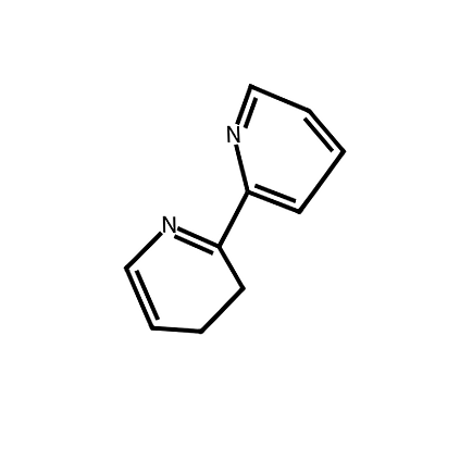 C1=CN=C(c2ccccn2)CC1